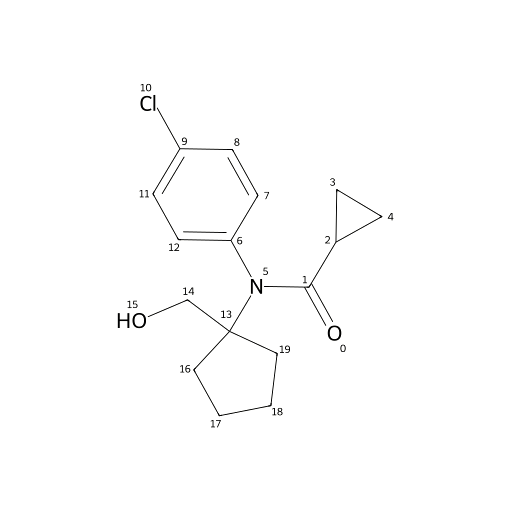 O=C(C1CC1)N(c1ccc(Cl)cc1)C1(CO)CCCC1